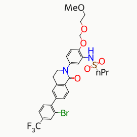 CCCS(=O)(=O)Nc1cc(N2CCc3cc(-c4ccc(C(F)(F)F)cc4Br)ccc3C2=O)ccc1OCOCCOC